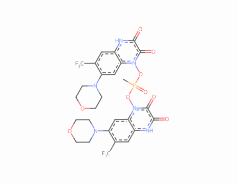 CP(=O)(On1c(=O)c(=O)[nH]c2cc(C(F)(F)F)c(N3CCOCC3)cc21)On1c(=O)c(=O)[nH]c2cc(C(F)(F)F)c(N3CCOCC3)cc21